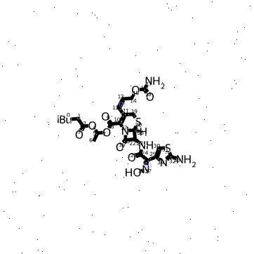 CCC(C)CC(=O)OC(C)OC(=O)C1=C(/C=C\COC(N)=O)CS[C@@H]2C(NC(=O)/C(=N\O)c3csc(N)n3)C(=O)N12